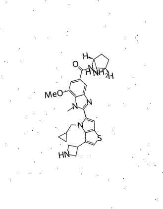 COc1cc(C(=O)N2C[C@H]3CC[C@@H]2[C@@H]3N)cc2nc(-c3cc4scc(C5CNC5)c4n3CC3CC3)n(C)c12